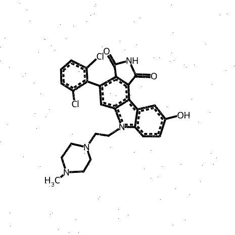 CN1CCN(CCn2c3ccc(O)cc3c3c4c(c(-c5c(Cl)cccc5Cl)cc32)C(=O)NC4=O)CC1